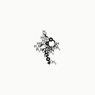 Cc1nc(-c2ccc(C3(C)CC3)cc2)ncc1C(=O)N[C@@H](CCN)C(=O)N(C)[C@@H]1C(=O)N[C@@H](C)C(=O)NCCc2ccc(OC[C@H](O)CN)c(c2)-c2cc1cc(OC[C@H](O)CN)c2O